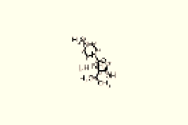 CC(C)C(NC(=O)N1CCN(C)CC1)C(=O)O.[LiH]